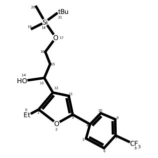 CCc1oc(-c2ccc(C(F)(F)F)cc2)cc1C(O)CCO[Si](C)(C)C(C)(C)C